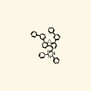 C1=CCC(c2nc(-c3ccccc3)nc(-c3ccc(-c4cccc(-c5ccccc5)c4)c4oc5c(-c6cccc(-c7ccccc7)c6)cccc5c34)n2)C=C1